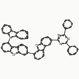 c1ccc(-c2nc(-c3ccccc3)nc(-c3ccc4oc5c(-c6ccc7c(c6)oc6cccc(-n8c9ccccc9c9ccccc98)c67)cccc5c4c3)n2)cc1